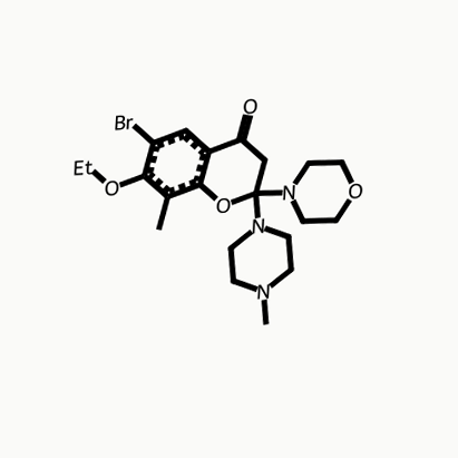 CCOc1c(Br)cc2c(c1C)OC(N1CCOCC1)(N1CCN(C)CC1)CC2=O